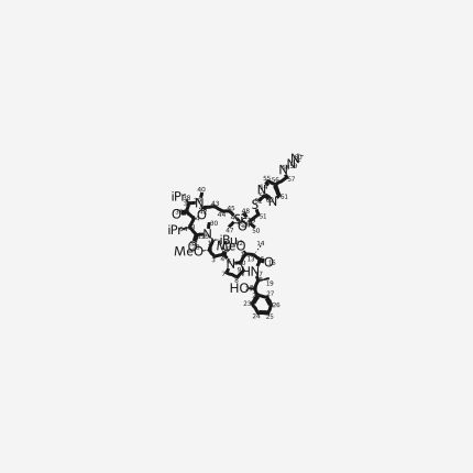 CC[C@@H](C)[C@H]([C@H](CC(=O)N1CCC[C@@H]1[C@@H](OC)[C@H](C)C(=O)N[C@@H](C)[C@H](O)c1ccccc1)OC)N(C)C(=O)[C@H](CC(=O)[C@@H](C(C)C)N(C)C(=O)CCC[Si]1(C)C[Si](C)(CSc2ncc(CN=[N+]=[N-])cn2)O1)C(C)C